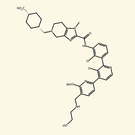 COc1nc(-c2ccnc(-c3cccc(NC(=O)c4nc5c(n4C)CCN(C[C@H]4CC[C@@H](C(=O)O)CC4)C5)c3Cl)c2Cl)ccc1CNCCO